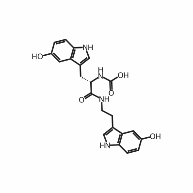 O=C(O)N[C@@H](Cc1c[nH]c2ccc(O)cc12)C(=O)NCCc1c[nH]c2ccc(O)cc12